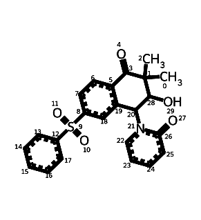 CC1(C)C(=O)c2ccc(S(=O)(=O)c3ccccc3)cc2C(n2ccccc2=O)C1O